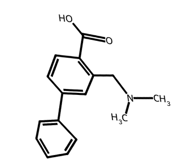 CN(C)Cc1cc(-c2ccccc2)ccc1C(=O)O